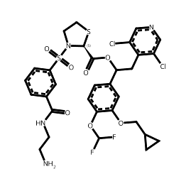 NCCNC(=O)c1cccc(S(=O)(=O)N2CCS[C@H]2C(=O)OC(Cc2c(Cl)cncc2Cl)c2ccc(OC(F)F)c(OCC3CC3)c2)c1